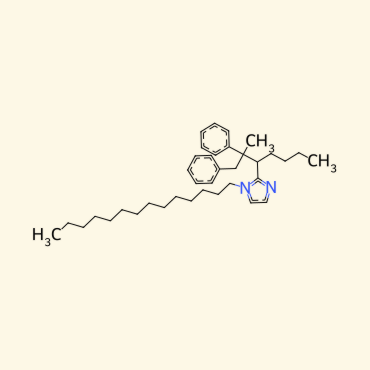 CCCCCCCCCCCCCCn1ccnc1C(CCCC)C(C)(Cc1ccccc1)c1ccccc1